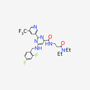 CCN(CC)C(=O)CCNC(=O)c1cc(NCc2ccc(F)cc2F)nc(-c2cncc(C(F)(F)F)c2)n1